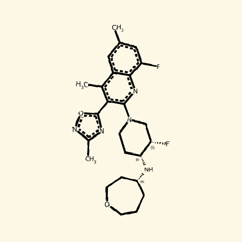 Cc1cc(F)c2nc(N3CC[C@@H](N[C@@H]4CCCOCC4)[C@@H](F)C3)c(-c3nc(C)no3)c(C)c2c1